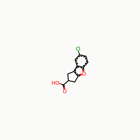 O=C(O)C1Cc2oc3ccc(Cl)cc3c2C1